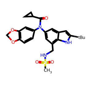 CC(C)(C)c1cc2cc(N(C(=O)C3CC3)c3ccc4c(c3)OCO4)cc(CNS(C)(=O)=O)c2[nH]1